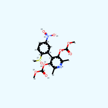 COC(=O)Oc1c(C)nc(C)c(OC(=O)OC)c1-c1cc([N+](=O)[O-])ccc1[S+](C)[O-]